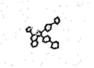 c1ccc(-c2ccc(-c3nn4c(-c5ccco5)cc5ccccc5c4c3-c3ccc(-c4ccccc4)cc3)cc2)cc1